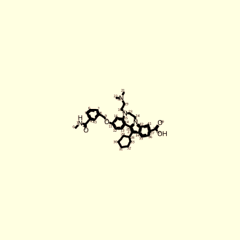 CNC(=O)c1cccc(COc2ccc3c(c2)N(CCN(C)C)CCn2c-3c(C3CCCCC3)c3ccc(C(=O)O)cc32)c1